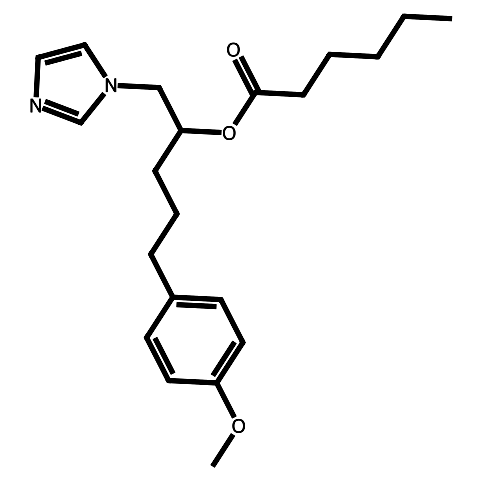 CCCCCC(=O)OC(CCCc1ccc(OC)cc1)Cn1ccnc1